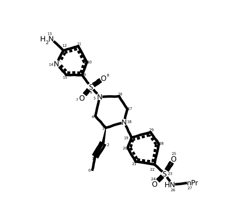 CC#C[C@H]1CN(S(=O)(=O)c2ccc(N)nc2)CCN1c1ccc(S(=O)(=O)NCCC)cc1